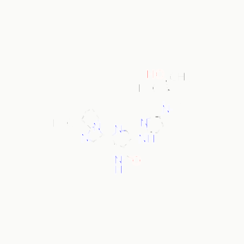 Cc1cccn2c(-c3ncc(Nc4ccc(N5CCC[C@H](C(C)(C)O)C5)cn4)c4c3CNC4=O)cnc12